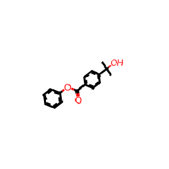 CC(C)(O)c1ccc(C(=O)Oc2ccccc2)cc1